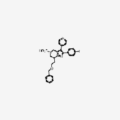 O=C(O)N1Cc2c(-c3ccncc3)c(-c3ccc(F)cc3)nn2C(CCOCc2ccccc2)C1